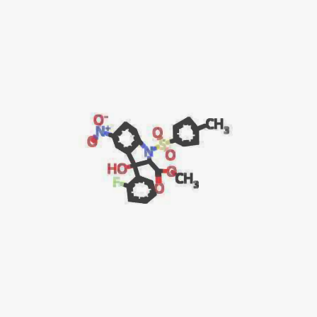 COC(=O)C1N(S(=O)(=O)c2ccc(C)cc2)c2ccc([N+](=O)[O-])cc2C1(O)c1ccccc1F